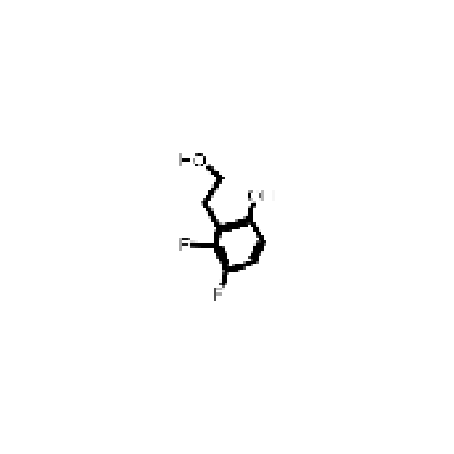 OCCc1c(O)ccc(F)c1F